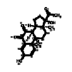 CC(=O)[C@@]1(O)CC[C@H]2[C@@H]3C(=O)C(=O)C4=CC(O)C=C[C@]4(C)[C@H]3CC[C@@]21C